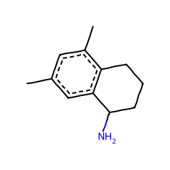 Cc1cc(C)c2c(c1)[C](N)CCC2